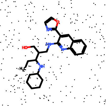 CCC(NC1CCCCC1)C(CO)CNc1nc2ccccc2cc1-c1ncco1